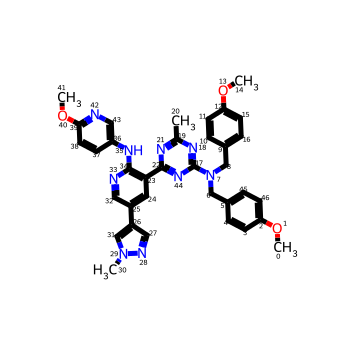 COc1ccc(CN(Cc2ccc(OC)cc2)c2nc(C)nc(-c3cc(-c4cnn(C)c4)cnc3Nc3ccc(OC)nc3)n2)cc1